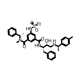 CCS(=O)(=O)Nc1cc(C(=O)N[C@@H](Cc2ccccc2)[C@H](O)CN[C@H](C)c2ccc(C)cc2)cc(C(=O)N(C)[C@@H](C)c2ccccc2)c1